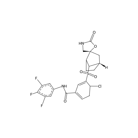 O=C1NC[C@]2(C[C@@H]3CCC2C3S(=O)(=O)C2=CC(C(=O)Nc3cc(F)c(F)c(F)c3)=CCC2Cl)O1